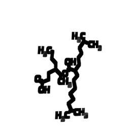 CC(C)CCCCCCC(CCCCC(C)C)C(=O)O.CCCCC(CC)CCC(=O)O